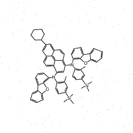 Cc1cc([Si](C)(C)C)ccc1N(c1cc(N(c2ccc([Si](C)(C)C)cc2C)c2cccc3c2oc2ccccc23)c2ccc3cc(C4CCCCC4)cc4ccc1c2c43)c1cccc2c1oc1ccccc12